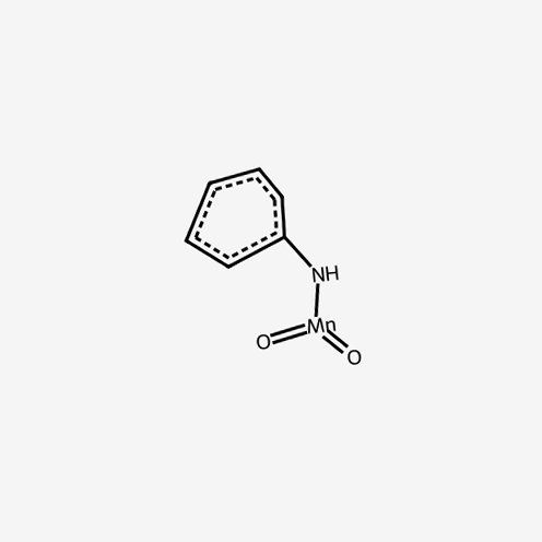 [O]=[Mn](=[O])[NH]c1ccccc1